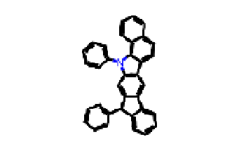 c1ccc(C2c3ccccc3-c3cc4c5ccc6ccccc6c5n(-c5ccccc5)c4cc32)cc1